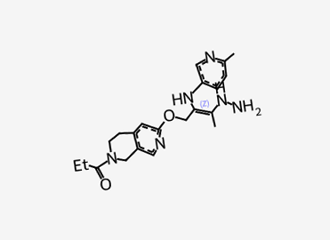 CCC(=O)N1CCc2cc(OC/C(Nc3ccc(C)nc3)=C(\C)NN)ncc2C1